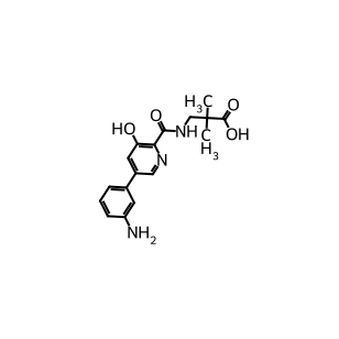 CC(C)(CNC(=O)c1ncc(-c2cccc(N)c2)cc1O)C(=O)O